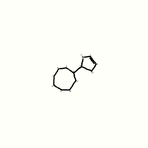 C1=C[N]C(C2CCCCCCC2)C1